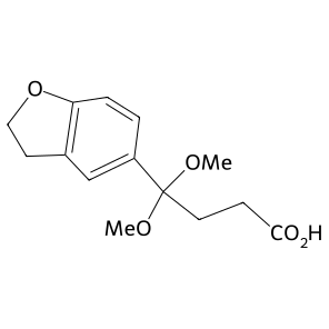 COC(CCC(=O)O)(OC)c1ccc2c(c1)CCO2